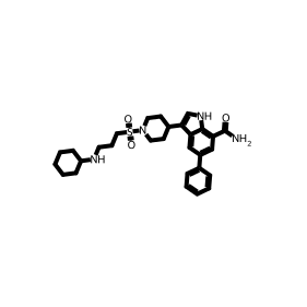 NC(=O)c1cc(-c2ccccc2)cc2c(C3CCN(S(=O)(=O)CCCNC4CCCCC4)CC3)c[nH]c12